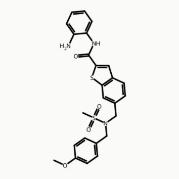 COc1ccc(CN(Cc2ccc3cc(C(=O)Nc4ccccc4N)sc3c2)S(C)(=O)=O)cc1